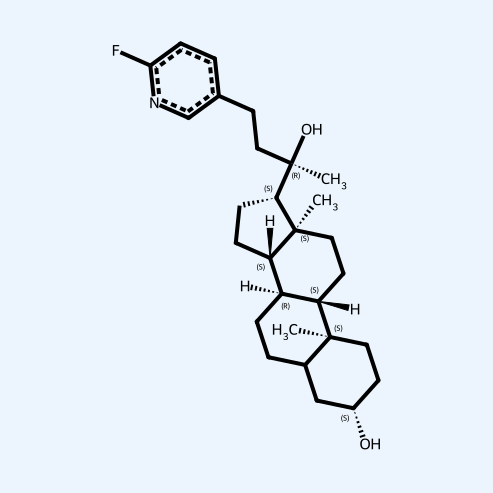 C[C@]12CC[C@H]3[C@@H](CCC4C[C@@H](O)CC[C@@]43C)[C@@H]1CC[C@@H]2[C@](C)(O)CCc1ccc(F)nc1